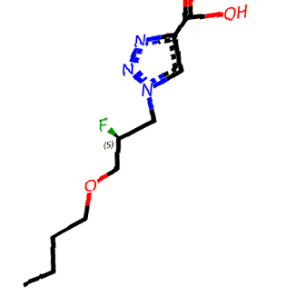 CCCCOC[C@@H](F)Cn1cc(C(=O)O)nn1